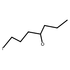 CCCC([O])CCCI